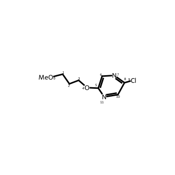 COCCCOc1cnc(Cl)cn1